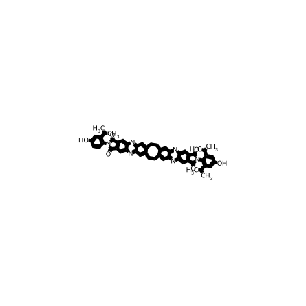 CC(C)c1cc(O)ccc1N1C(=O)c2cc3nc4cc5c(cc4nc3cc2C1=O)CCc1cc2nc3cc4c(cc3nc2cc1CC5)C(=O)N(c1c(C(C)C)cc(O)cc1C(C)C)C4=O